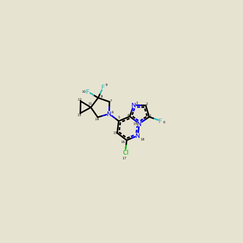 Fc1cnc2c(N3CC(F)(F)C4(CC4)C3)cc(Cl)nn12